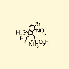 Cc1c(CC(CN)C(=O)O)c2c([N+](=O)[O-])c(Br)ccc2n1C